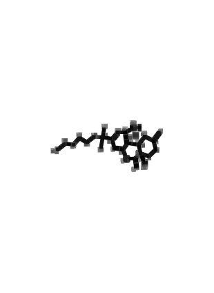 C=C1CC[C@@H]2C(=C)Oc3cc(C(C)(C)CCCCCI)cc(O)c3[C@H]2C1